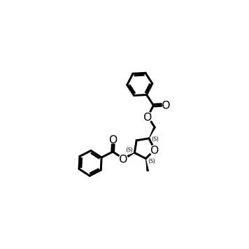 C[C@@H]1O[C@H](COC(=O)c2ccccc2)C[C@@H]1OC(=O)c1ccccc1